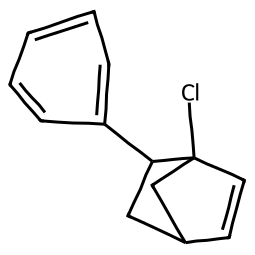 ClC12C=CC(CC1c1ccccc1)C2